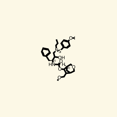 CCCN(CC(O)[C@H](Cc1ccccc1)NC(=O)OC1C(COC)C2COC[C@H]1C2)Sc1ccc(OI)cc1